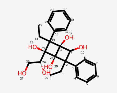 CCC1(c2ccccc2)C(O)[C@@]2(O)C(CC)(c3ccccc3)[C@@](O)([C@H](O)CO)[C@@]12O